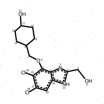 OCc1nc2c(OCC3CCC(O)CC3)c(Cl)c(Cl)cc2[nH]1